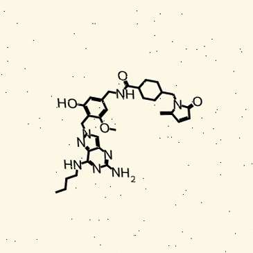 C=C1C=CC(=O)N1CC1CCC(C(=O)NCc2cc(O)c(Cn3cc4nc(N)nc(NCCCC)c4n3)c(OC)c2)CC1